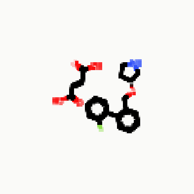 Fc1ccccc1-c1ccccc1CO[C@@H]1CCNC1.O=C(O)/C=C/C(=O)O